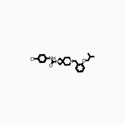 CC(C)COc1ccccc1CN1CCC2(CC1)CN(C(=O)Nc1ccc(Cl)cc1)C2